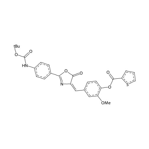 COc1cc(/C=C2/N=C(c3ccc(NC(=O)OC(C)(C)C)cc3)OC2=O)ccc1OC(=O)c1cccs1